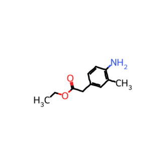 CCOC(=O)Cc1ccc(N)c(C)c1